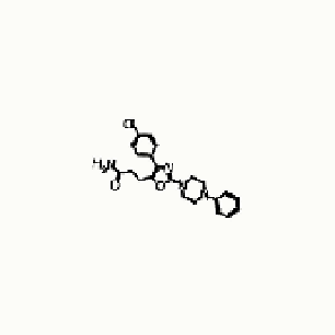 NC(=O)CCc1oc(N2CCN(c3ccccc3)CC2)nc1-c1ccc(Cl)cc1